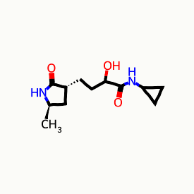 C[C@@H]1C[C@@H](CCC(O)C(=O)NC2CC2)C(=O)N1